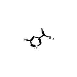 NC(=S)c1cn[c]c(F)c1